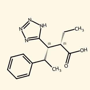 CC[C@H](C(=O)O)[C@@H](c1nnn[nH]1)C(C)c1ccccc1